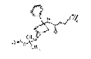 CCCC(=O)OC1(c2ccccc2)CN(CC(C)(C)O[C]=O)C1